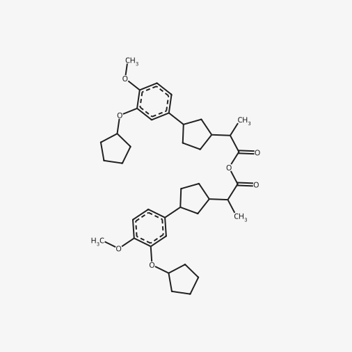 COc1ccc(C2CCC(C(C)C(=O)OC(=O)C(C)C3CCC(c4ccc(OC)c(OC5CCCC5)c4)C3)C2)cc1OC1CCCC1